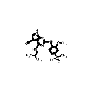 COc1cc(P(C)(C)=O)ccc1Nc1nc(NCC(C)C)c2c(C#N)c[nH]c2n1